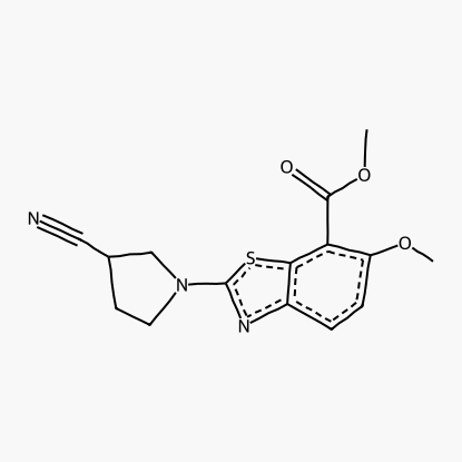 COC(=O)c1c(OC)ccc2nc(N3CCC(C#N)C3)sc12